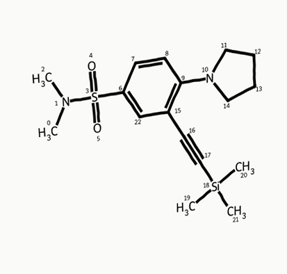 CN(C)S(=O)(=O)c1ccc(N2CCCC2)c(C#C[Si](C)(C)C)c1